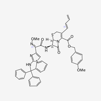 C=C/C=C/C1=C(C(=O)OCc2ccc(OC)cc2)N2C(=O)[C@@H](NC(=O)/C(=N\OC)c3csc(NC(c4ccccc4)(c4ccccc4)c4ccccc4)n3)[C@H]2SC1